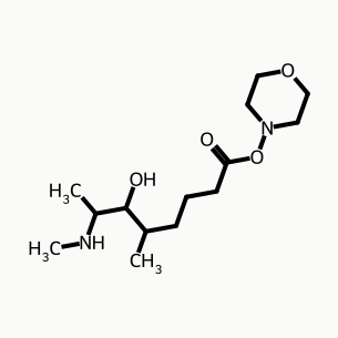 CNC(C)C(O)C(C)CCCC(=O)ON1CCOCC1